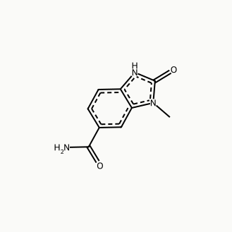 Cn1c(=O)[nH]c2ccc(C(N)=O)cc21